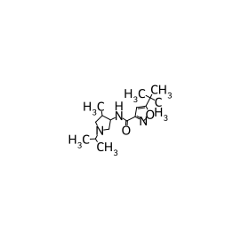 CC1CN(C(C)C)CC1NC(=O)c1cc(C(C)(C)C)on1